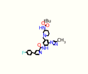 Cc1cn(-c2cc(CN3CCC[C@H](NC(=O)OC(C)(C)C)C3)cc(NC(=O)c3cc(-c4ccc(F)cc4)ccn3)c2)cn1